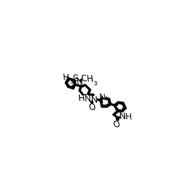 CN(C)[C@]1(c2ccccc2)CC[C@@]2(CC1)CN(c1ccc(-c3cccc4c3CC(=O)N4)cn1)C(=O)N2